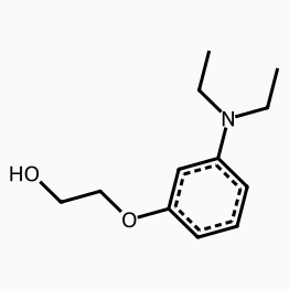 CCN(CC)c1cccc(OCCO)c1